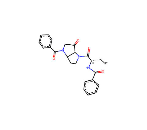 CC(C)C[C@H](NC(=O)c1ccccc1)C(=O)N1CCC2C1C(=O)CN2C(=O)c1ccccc1